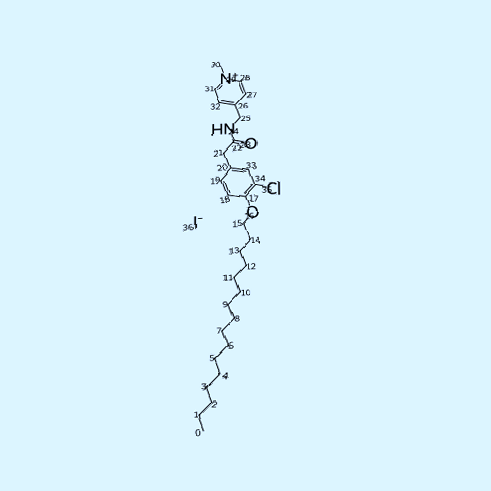 CCCCCCCCCCCCCCCCOc1ccc(CC(=O)NCc2cc[n+](C)cc2)cc1Cl.[I-]